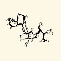 C=C(C(=O)N1CC[C@H]2CCN(c3ncnc4[nH]ccc34)[C@@H]2C1)C(F)(F)F